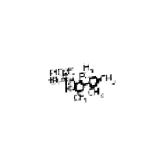 CCOC(=O)C[C@H](N[S@+]([O-])C(C)(C)C)c1c(F)c(-c2c(C)cc(C)cc2C)cc(C(F)(F)F)c1F